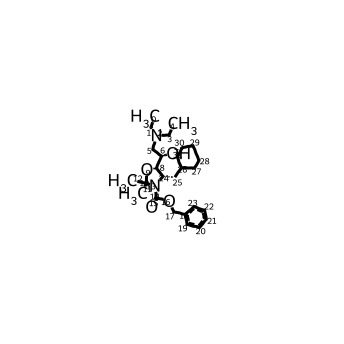 CCN(CC)C[C@@H](O)[C@H]1OC(C)(C)N(C(=O)OCc2ccccc2)[C@H]1CC1CCCCC1